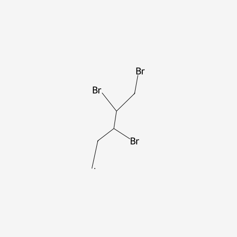 [CH2]CC(Br)C(Br)CBr